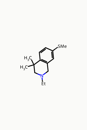 CCN1Cc2cc(SC)ccc2C(C)(C)C1